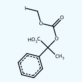 CC(OC(=O)OCI)(C(=O)O)c1ccccc1